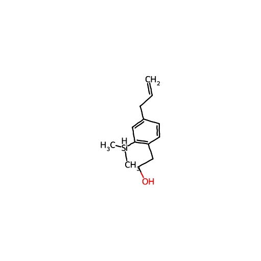 C=CCc1ccc(CCO)c([SiH](C)C)c1